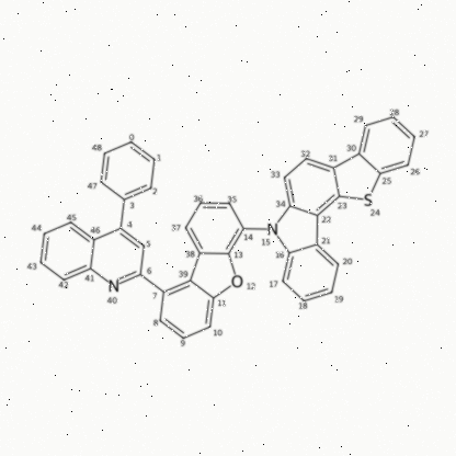 c1ccc(-c2cc(-c3cccc4oc5c(-n6c7ccccc7c7c8sc9ccccc9c8ccc76)cccc5c34)nc3ccccc23)cc1